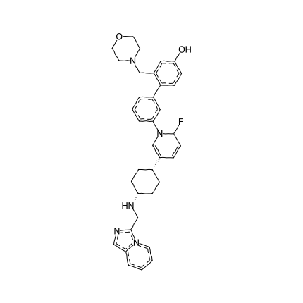 Oc1ccc(-c2cccc(N3C=C([C@H]4CC[C@@H](NCc5ncc6ccccn56)CC4)C=CC3F)c2)c(CN2CCOCC2)c1